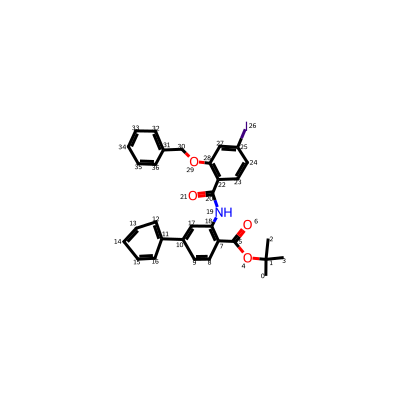 CC(C)(C)OC(=O)c1ccc(-c2ccccc2)cc1NC(=O)c1ccc(I)cc1OCc1ccccc1